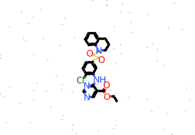 CCOC(=O)c1cncnc1Nc1cc(S(=O)(=O)N2CCCc3ccccc32)ccc1Cl